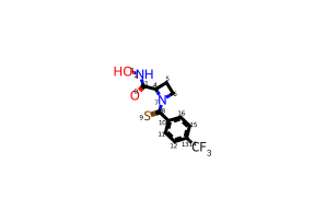 O=C(NO)C1CCN1C(=S)c1ccc(C(F)(F)F)cc1